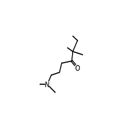 CCC(C)(C)C(=O)CCCN(C)C